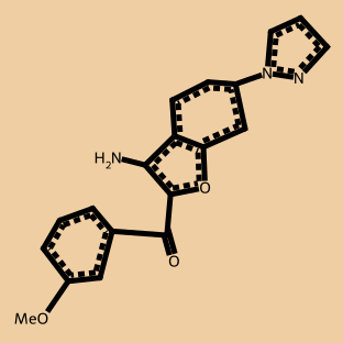 COc1cccc(C(=O)c2oc3cc(-n4cccn4)ccc3c2N)c1